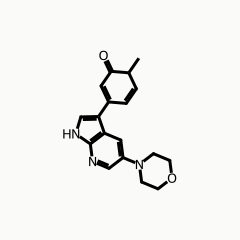 CC1C=CC(c2c[nH]c3ncc(N4CCOCC4)cc23)=CC1=O